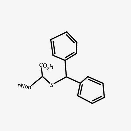 CCCCCCCCCC(SC(c1ccccc1)c1ccccc1)C(=O)O